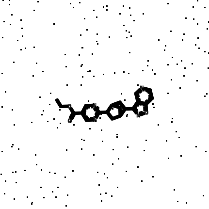 CCOC(=O)c1cnc(C2CC3CC2CC3c2noc3ccncc23)nc1